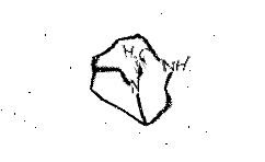 CN1C2CNCC1C2